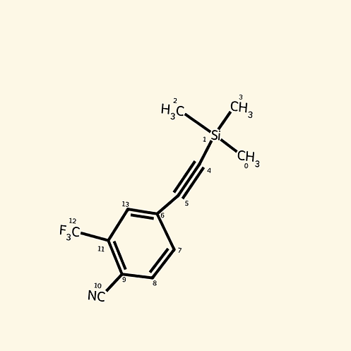 C[Si](C)(C)C#Cc1ccc(C#N)c(C(F)(F)F)c1